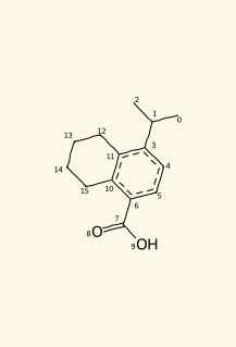 CC(C)c1ccc(C(=O)O)c2c1CCCC2